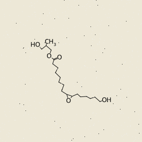 CC(CO)COC(=O)CCCCCCCC1OC1CCCCCCO